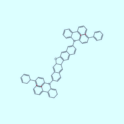 C1=CCC(c2ccc(N(C3=CCCC=C3c3ccccc3)c3ccc4c(c3)=CC3Oc5cc6cc(N(c7ccc(-c8ccccc8)cc7)c7ccccc7-c7ccccc7)ccc6cc5C3C=4)cc2)C=C1